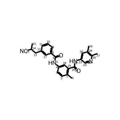 Cc1ccc(NC(=O)c2cccc(CC(C)C#N)c2)cc1C(=O)Nc1cnc(C)c(C)c1